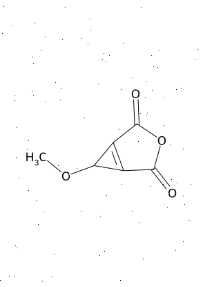 COC1C2=C1C(=O)OC2=O